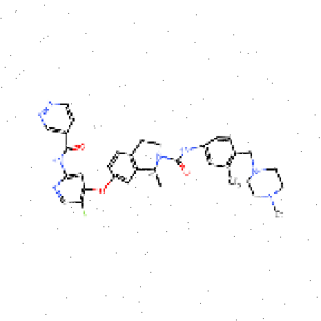 CCN1CCN(Cc2ccc(NC(=O)N3CCc4ccc(Oc5cc(NC(=O)c6ccnnc6)ncc5F)cc4[C@@H]3C)cc2C(F)(F)F)CC1